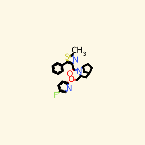 Cc1nc(C(=O)N2C3CCC(C3)CC2COc2ccc(F)cn2)c(-c2ccccc2)s1